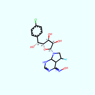 O/N=C1/N=CNC2C1C(F)CN2[C@@H]1O[C@H]([C@H](O)c2ccc(Cl)cc2)[C@@H](O)[C@H]1O